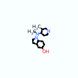 Cc1cnccc1N(C)n1ccc2cc(O)ccc21